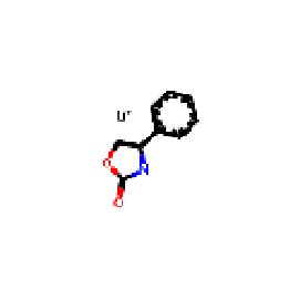 O=C1[N-]C(c2ccccc2)CO1.[Li+]